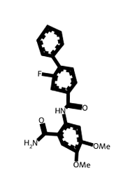 COc1cc(NC(=O)c2ccc(-c3ccccc3)c(F)c2)c(C(N)=O)cc1OC